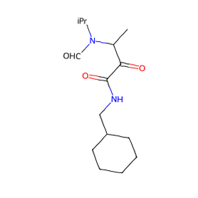 CC(C)N(C=O)C(C)C(=O)C(=O)NCC1CCCCC1